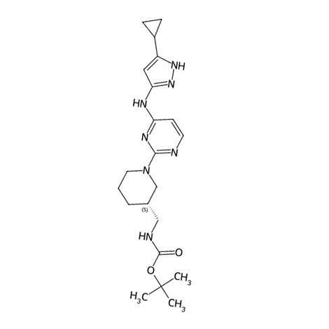 CC(C)(C)OC(=O)NC[C@@H]1CCCN(c2nccc(Nc3cc(C4CC4)[nH]n3)n2)C1